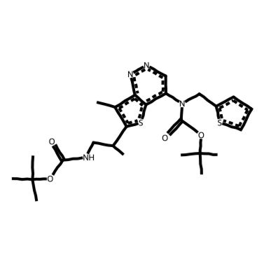 Cc1c(C(C)CNC(=O)OC(C)(C)C)sc2c(N(Cc3cccs3)C(=O)OC(C)(C)C)cnnc12